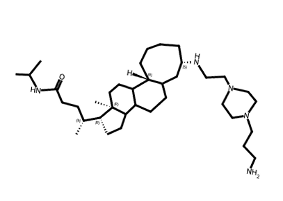 CC(C)NC(=O)CC[C@@H](C)[C@H]1CCC2C3CCC4C[C@@H](NCCN5CCN(CCCN)CC5)CCCC[C@H]4C3CC[C@@]21C